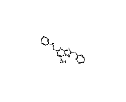 Oc1cc(CSc2ccccc2)nc2nc(Cc3ccccc3)nn12